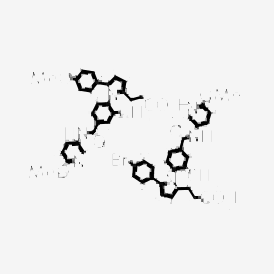 COc1ccc(-c2ccc(CCC(=O)O)n2-c2ccc(C(=O)Nc3ccc(OC)nc3)cc2C)cc1.COc1ccc(NC(=O)c2ccc(-n3c(CCC(=O)O)ccc3-c3ccc(Br)cc3)c(C)c2)cn1